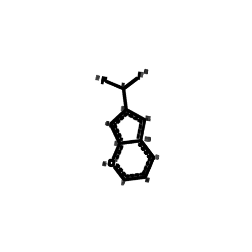 FC(F)c1[c]c2occcc-2c1